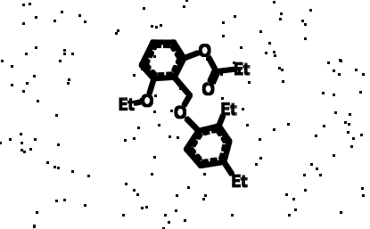 CCOc1cccc(OC(=O)CC)c1COc1ccc(CC)cc1CC